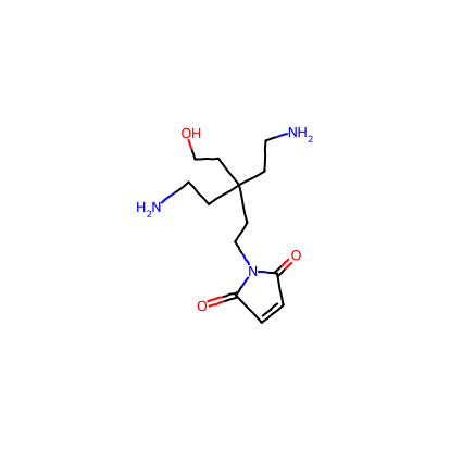 NCCC(CCN)(CCO)CCN1C(=O)C=CC1=O